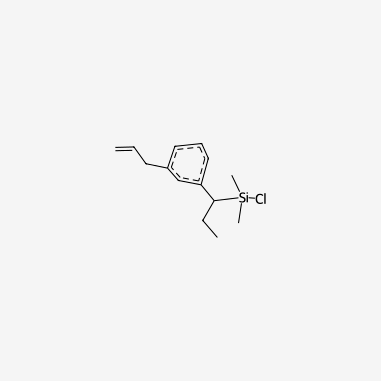 C=CCc1cccc(C(CC)[Si](C)(C)Cl)c1